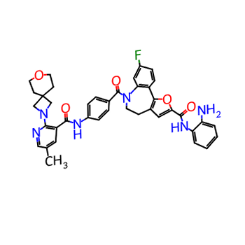 Cc1cnc(N2CC3(CCOCC3)C2)c(C(=O)Nc2ccc(C(=O)N3CCc4cc(C(=O)Nc5ccccc5N)oc4-c4ccc(F)cc43)cc2)c1